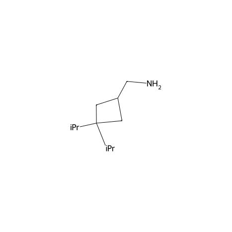 CC(C)C1(C(C)C)CC(CN)C1